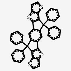 c1ccc(C2(c3ccccc3)c3cc4c(cc3-c3sc5ccsc5c32)C(c2ccccc2)(c2ccccc2)c2c-4sc3ccsc23)cc1